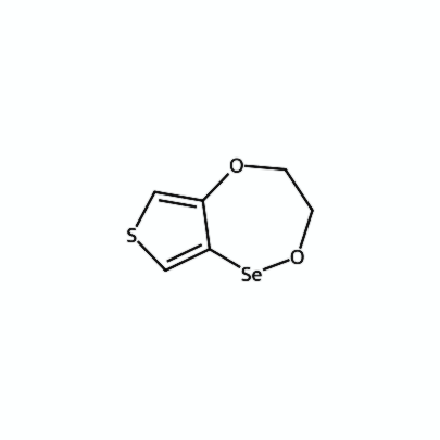 c1scc2c1OCCO[Se]2